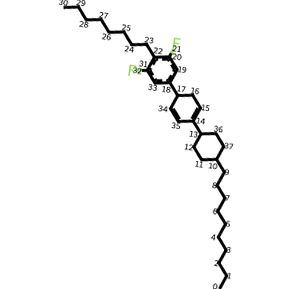 CCCCCCCCCCC1CCC(C2=CCC(c3cc(F)c(CCCCCCCC)c(F)c3)C=C2)CC1